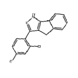 Clc1ccc(-c2n[nH]c3c2Cc2ccccc2-3)c(Cl)c1